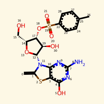 C=C1Sc2c(O)nc(N)nc2N1[C@@H]1O[C@H](CO)[C@H](OS(=O)(=O)c2ccc(C)cc2)[C@H]1O